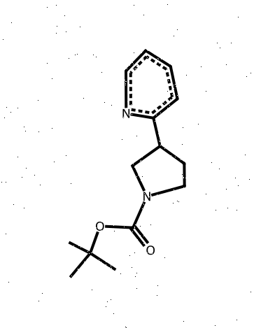 CC(C)(C)OC(=O)N1CCC(c2ccccn2)C1